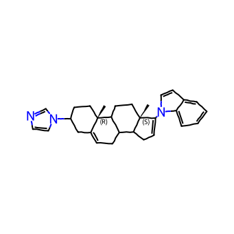 C[C@]12CCC(n3ccnc3)CC1=CCC1C2CC[C@]2(C)C(n3ccc4ccccc43)=CCC12